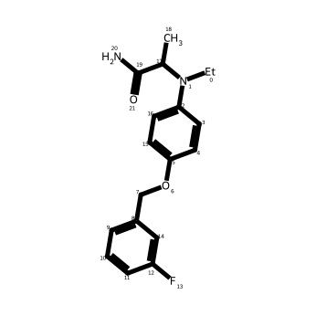 CCN(c1ccc(OCc2cccc(F)c2)cc1)C(C)C(N)=O